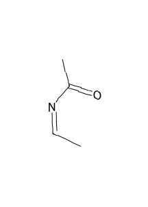 C/C=N\C(C)=O